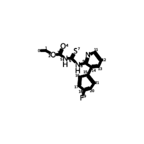 CCOC(=O)NC(=S)Nc1ncccc1-c1ccc(F)cc1